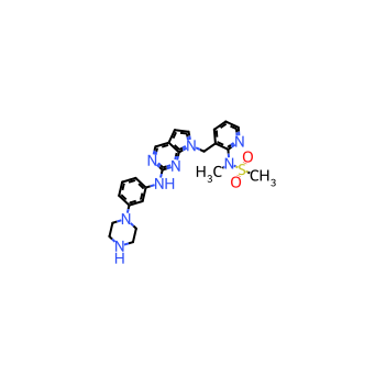 CN(c1ncccc1Cn1ccc2cnc(Nc3cccc(N4CCNCC4)c3)nc21)S(C)(=O)=O